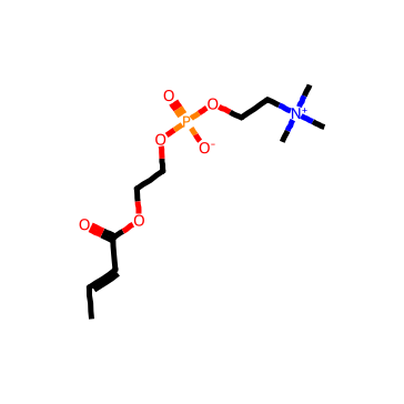 C/C=C/C(=O)OCCOP(=O)([O-])OCC[N+](C)(C)C